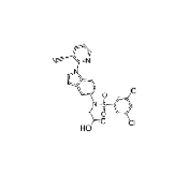 N#Cc1cccnc1-n1ccc2cc(N(CC(=O)O)S(=O)(=O)c3cc(Cl)cc(Cl)c3)ccc21